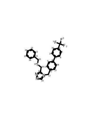 FC(F)(F)c1ccc(-c2ccc(Cn3cnnc3CSCc3ccccc3)cc2)cc1